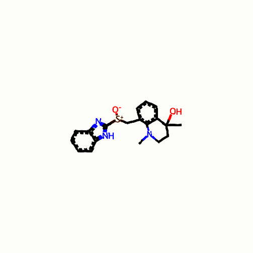 CN1CCC(C)(O)c2cccc(C[S+]([O-])c3nc4ccccc4[nH]3)c21